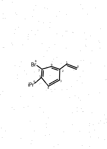 C=[C]c1ccc(C(C)C)c(Br)c1